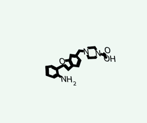 Nc1ccccc1-c1cc2ccc(CN3CCN(C(=O)O)CC3)cc2o1